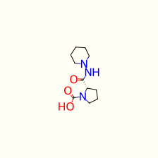 O=C(NN1CCCCC1)[C@@H]1CCCN1C(=O)O